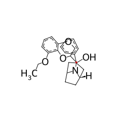 CCOc1cccc2c1OC(CN1C3CC[C@H]1CC(O)(c1ccccc1)C3)CO2